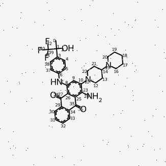 CC(O)(c1ccc(Nc2cc(N3CCC(N4CCCCC4)CC3)c(N)c3c2C(=O)c2ccccc2C3=O)cc1)C(F)(F)F